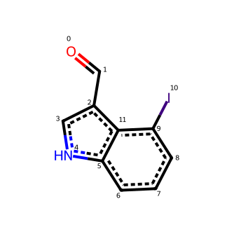 O=Cc1c[nH]c2cccc(I)c12